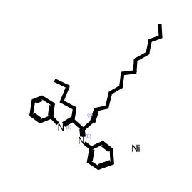 CCCCCCCCCC/C=C/C(=N\c1ccccc1)C(/CCCC)=N/c1ccccc1.[Ni]